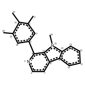 Cc1cc(-c2nccc3c4ccccc4n(C)c23)cc(C)c1C